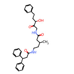 CC(CCNC(=O)CC(c1ccccc1)c1ccccc1)CC(=O)NCC(=O)C(O)CCc1ccccc1